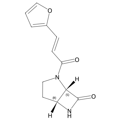 O=C1N[C@@H]2CCN(C(=O)C=Cc3ccco3)[C@H]12